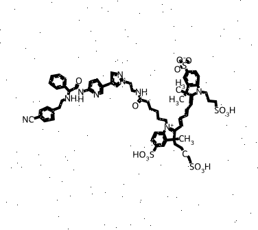 CC1(CCCCS(=O)(=O)O)C(/C=C/C=C/C=C2/N(CCCS(=O)(=O)O)c3ccc(S(=O)(=O)[O-])cc3C2(C)C)=[N+](CCCCCC(=O)NCCn2cc(-c3ccc(NC(=O)C(NCCc4ccc(C#N)cc4)c4ccccc4)nc3)cn2)c2ccc(S(=O)(=O)O)cc21